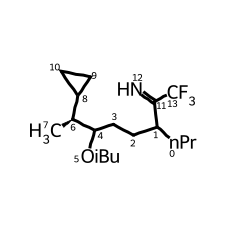 CCCC(CCC(OCC(C)C)[C@@H](C)C1CC1)C(=N)C(F)(F)F